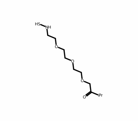 CC(C)C(=O)COCCOCCOCCNS